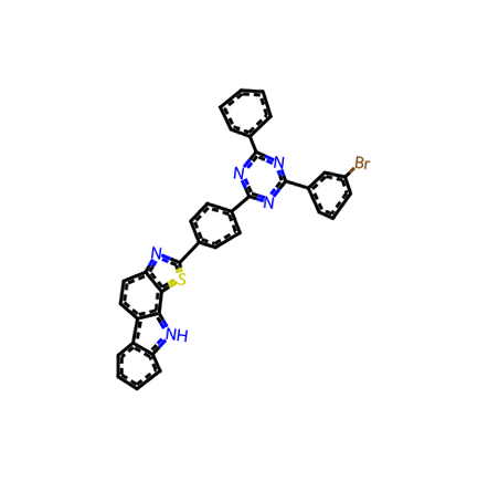 Brc1cccc(-c2nc(-c3ccccc3)nc(-c3ccc(-c4nc5ccc6c7ccccc7[nH]c6c5s4)cc3)n2)c1